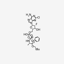 C[C@@H](NP(=O)(Oc1ccccc1)OP(=O)(O)OC[C@H]1O[C@@H](n2cnc3c(N)nc(Cl)nc32)[C@H](F)C1O)C(=O)OCC(C)(C)C